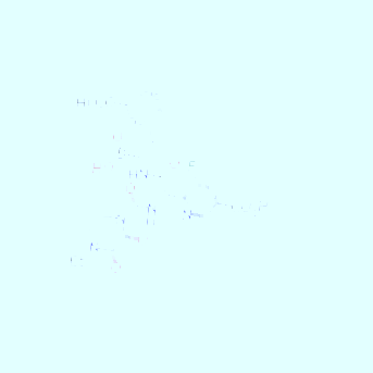 CCN1CCN(C(=O)NC(C(=O)N[C@H]2Cc3cccc(C(=O)O)c3OB2O)c2ncc(C(=O)O)cc2F)C(=O)C1=O